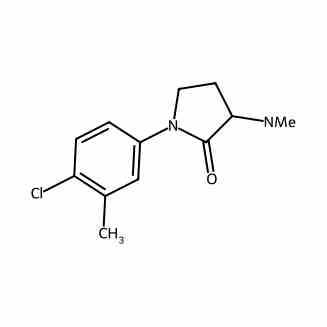 CNC1CCN(c2ccc(Cl)c(C)c2)C1=O